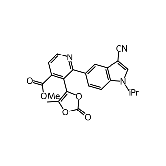 COC(=O)c1ccnc(-c2ccc3c(c2)c(C#N)cn3C(C)C)c1-c1oc(=O)oc1C